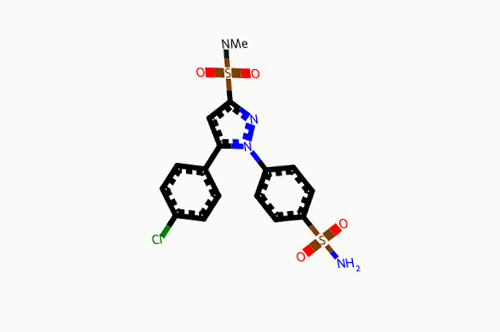 CNS(=O)(=O)c1cc(-c2ccc(Cl)cc2)n(-c2ccc(S(N)(=O)=O)cc2)n1